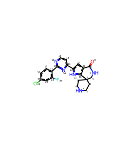 O=C1NCC2(CCNCC2)c2[nH]c(-c3ccnc(-c4ccc(Cl)cc4F)n3)cc21